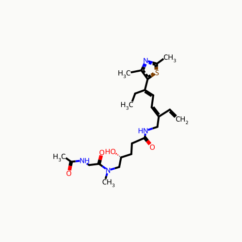 C=C/C(=C\C=C(/CC)c1sc(C)nc1C)CNC(=O)CC[C@@H](O)CN(C)C(=O)CNC(C)=O